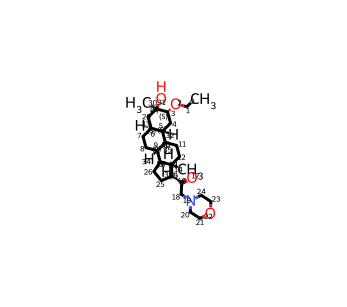 CCO[C@H]1C[C@H]2[C@@H](CC[C@@H]3[C@@H]2CC[C@]2(C)[C@@H](C(=O)CN4CCOCC4)CC[C@@H]32)C[C@]1(C)O